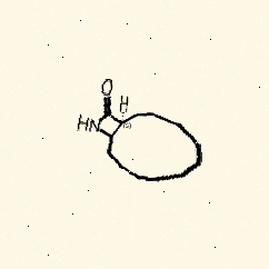 O=C1NC2CCCCCCCCCC[C@H]12